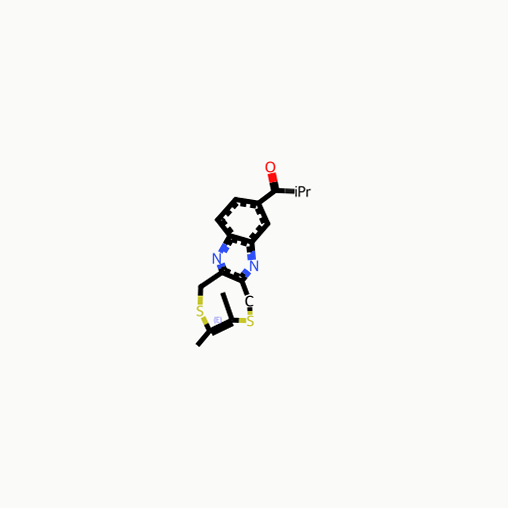 C/C1=C(/C)SCc2nc3cc(C(=O)C(C)C)ccc3nc2CS1